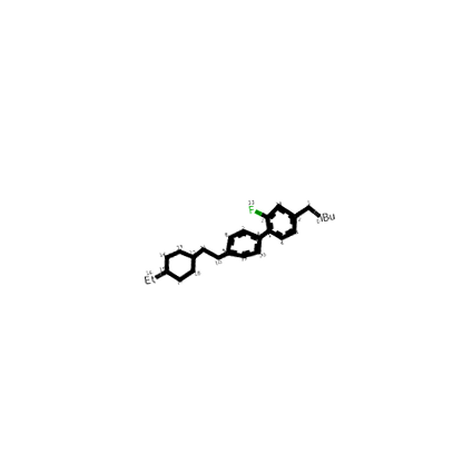 CCC(C)Cc1ccc(-c2ccc(CCC3CCC(CC)CC3)cc2)c(F)c1